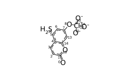 O=c1ccc2ccc(O[Cl+3]([O-])([O-])[O-])cc2o1.S